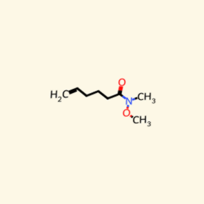 C=CCCCC(=O)N(C)OC